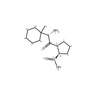 CC1([C@H](N)C(=O)N2CCC[C@H]2S(=O)O)CCCCC1